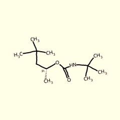 C[C@H](CC(C)(C)C)OC(=O)NC(C)(C)C